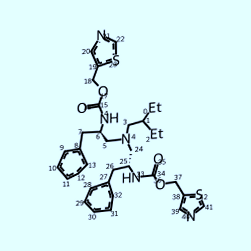 CCC(CC)CN(C[C@@H](Cc1ccccc1)NC(=O)OCc1cncs1)C[C@@H](Cc1ccccc1)NC(=O)OCc1cncs1